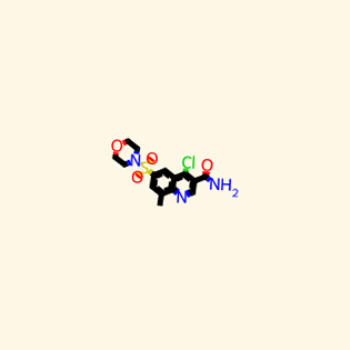 Cc1cc(S(=O)(=O)N2CCOCC2)cc2c(Cl)c(C(N)=O)cnc12